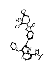 CC(C)Nc1ccnc2c(CN3CCCC3)cc(-c3ccc4c(c3)CN(C3CCC(=O)NC3=O)C4=O)nc12